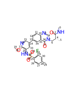 CNC(=O)[C@H](C)Cn1cnc2ccc(-c3cnc(OC)c(NS(=O)(=O)c4ccc(C)cc4F)c3)cc2c1=O